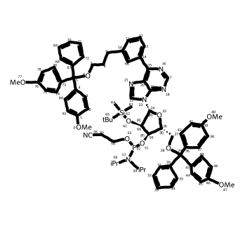 COc1ccc(C(OCCCc2cccc(-c3ncnc4c3ncn4[C@@H]3O[C@H](COC(c4ccccc4)(c4ccc(OC)cc4)c4ccc(OC)cc4)[C@@H](OP(OCCC#N)N(C(C)C)C(C)C)[C@H]3O[Si](C)(C)C(C)(C)C)c2)(c2ccccc2)c2ccc(OC)cc2)cc1